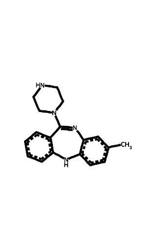 Cc1ccc2c(c1)N=C(N1CCNCC1)c1ccccc1N2